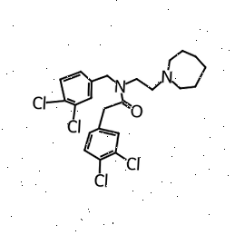 O=C(Cc1ccc(Cl)c(Cl)c1)N(CCN1CCCCCC1)Cc1ccc(Cl)c(Cl)c1